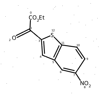 CCOC(=O)C(=O)c1cc2cc([N+](=O)[O-])ccc2s1